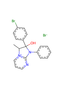 CC1[n+]2cccnc2N(c2ccccc2)C1(O)c1ccc(Br)cc1.[Br-]